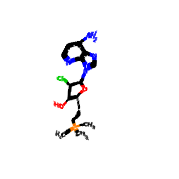 C=P(C)(C)CC[C@H]1OC(n2cnc3c(N)ccnc32)[C@H](Cl)[C@@H]1O